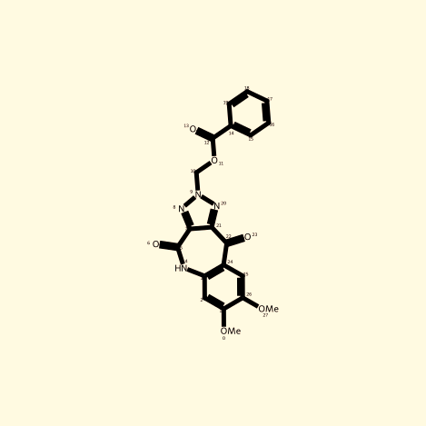 COc1cc2[nH]c(=O)c3nn(COC(=O)c4ccccc4)nc3c(=O)c2cc1OC